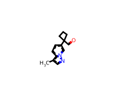 Cc1cnn2cc(C3(C=O)CCC3)ccc12